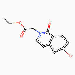 CCOC(=O)Cn1ccc2cc(Br)ccc2c1=O